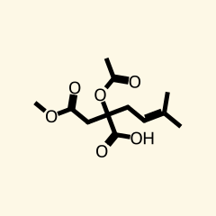 COC(=O)CC(CC=C(C)C)(OC(C)=O)C(=O)O